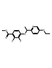 CCOc1ccc(C(C)Oc2ccc(C(=O)OC)c(F)c2F)nc1